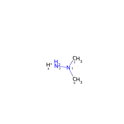 CN(C)N.[H+]